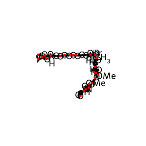 COc1cc2c(cc1OCCCCCOc1cc3c(cc1OC)C(=O)N1C=C(c4ccc5c(c4)OCO5)C[C@H]1C=N3)N=C[C@@H]1CC(c3ccc(NC(=O)[C@H](C)NC(=O)C(NC(=O)CCOCCOCCOCCOCCOCCOCCOCCOCCNC(=O)CCN4C(=O)CC(C5CCCCCC6CC6C5)C4=O)C(C)C)cc3)=CN1C2=O